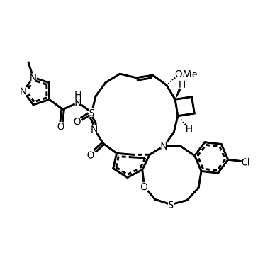 CO[C@H]1/C=C/CCCS(=O)(NC(=O)c2cnn(C)c2)=NC(=O)c2ccc3c(c2)N(Cc2ccc(Cl)cc2CCSCO3)C[C@@H]2CC[C@H]21